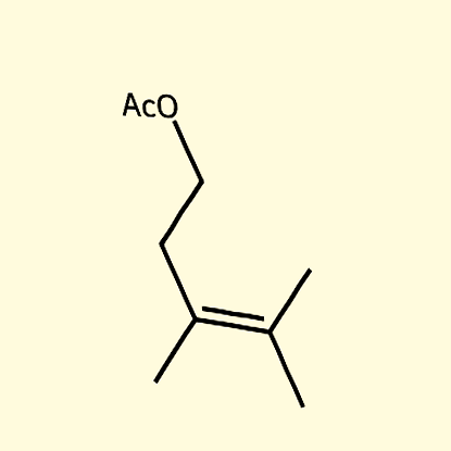 CC(=O)OCCC(C)=C(C)C